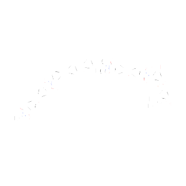 CCC(C)(C)c1cc(S(=O)(=O)c2ccc(O)c(N3C(=O)c4ccc(Oc5ccc6c(c5)C(=O)N(C(CC)(CC)C(CC)(CC)c5cccc(Oc7cccc(Oc8cccc(N9C(=O)c%10ccc(Oc%11ccc%12c(c%11)C(=O)N(C)C%12=O)cc%10C9=O)c8)c7)c5)C6=O)cc4C3=O)c2)ccc1O